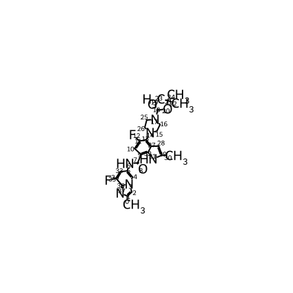 Cc1cn2cc(NC(=O)c3cc(F)c(N4CCN(C(=O)OC(C)(C)C)CC4)c4cc(C)[nH]c34)cc(F)c2n1